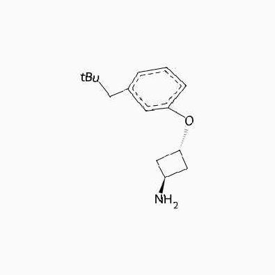 CC(C)(C)Cc1cccc(O[C@H]2C[C@H](N)C2)c1